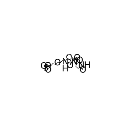 CS(=O)(=O)OCCCOCCNc1cccc2c1C(=O)N(C1CCC(=O)NC1=O)C2=O